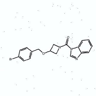 O=C(N1CC(OCc2ccc(Br)cc2)C1)n1cnc2ccccc21